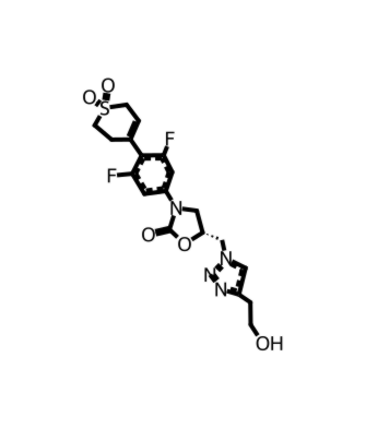 O=C1O[C@@H](Cn2cc(CCO)nn2)CN1c1cc(F)c(C2=CCS(=O)(=O)CC2)c(F)c1